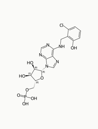 O=P(O)(O)OC[C@H]1O[C@@H](n2cnc3c(NCc4c(O)cccc4Cl)ncnc32)[C@H](O)[C@@H]1O